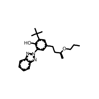 C=C(CCc1cc(-n2nc3ccccc3n2)c(O)c(C(C)(C)C)c1)OCCC